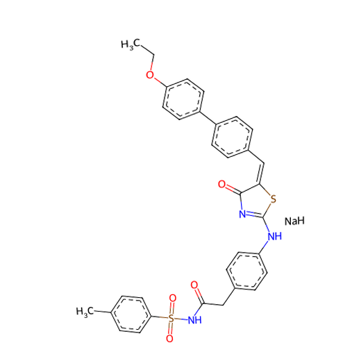 CCOc1ccc(-c2ccc(C=C3SC(Nc4ccc(CC(=O)NS(=O)(=O)c5ccc(C)cc5)cc4)=NC3=O)cc2)cc1.[NaH]